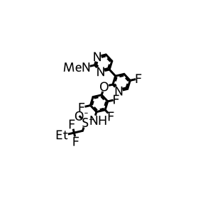 CCC(F)(F)C[S+]([O-])Nc1c(F)cc(Oc2ncc(F)cc2-c2ccnc(NC)n2)c(F)c1F